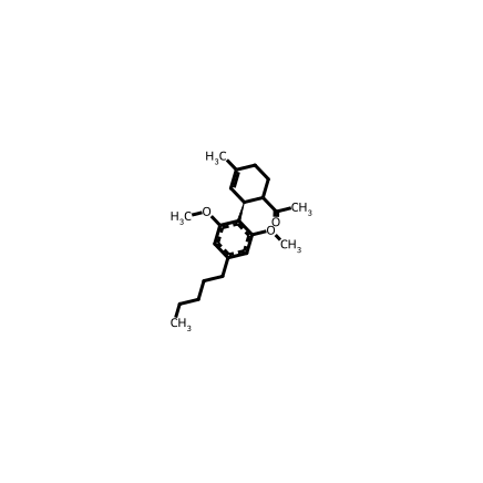 CCCCCc1cc(OC)c([C@H]2C=C(C)CCC2C(C)=O)c(OC)c1